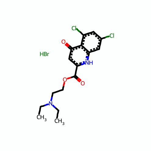 Br.CCN(CC)CCOC(=O)c1cc(=O)c2c(Cl)cc(Cl)cc2[nH]1